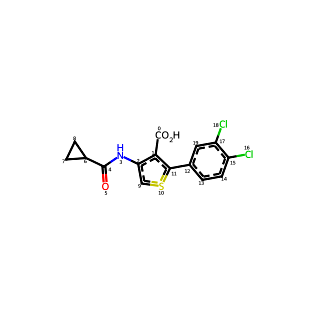 O=C(O)c1c(NC(=O)C2CC2)csc1-c1ccc(Cl)c(Cl)c1